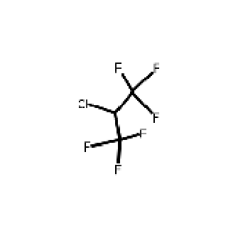 FC(F)(F)C(Cl)C(F)(F)F